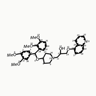 COc1ccc(C(OC2CCN(CC(O)COc3cccc4ncccc34)CC2)c2cccc(OC)c2OC)cc1OC